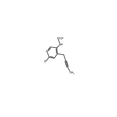 CC#CCc1cc(Cl)ncc1NC(=O)O